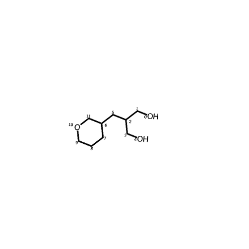 OCC(CO)CC1CCCOC1